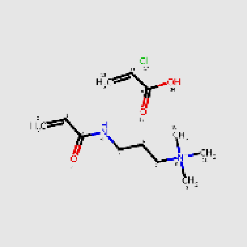 C=CC(=O)NCCC[N+](C)(C)C.C=CC(=O)O.[Cl-]